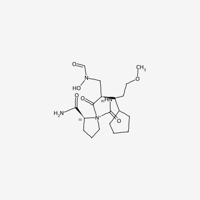 COCCNC(=O)[N+]1(C(=O)[C@H](CC2CCCC2)CN(O)C=O)CCC[C@H]1C(N)=O